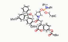 [C-]#[N+]CCOP(O[C@@H]1C[C@@H](COC(c2ccccc2)(c2ccc(OC)cc2)c2ccc(OC)cc2)N(C(=O)Cc2cc(=O)oc3cc(OC(=O)C(C)(C)C)ccc23)C1)N(C(C)C)C(C)C